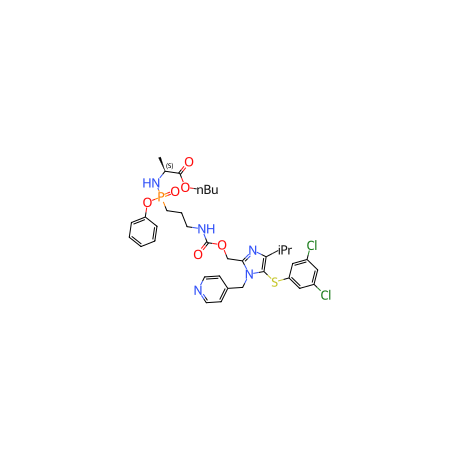 CCCCOC(=O)[C@H](C)NP(=O)(CCCNC(=O)OCc1nc(C(C)C)c(Sc2cc(Cl)cc(Cl)c2)n1Cc1ccncc1)Oc1ccccc1